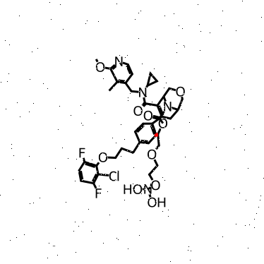 COc1nccc(CN(C(=O)C2=C(c3ccc(CCCOc4c(F)ccc(F)c4Cl)cc3)CC3COCC2N3C(=O)OCCOCCON(O)O)C2CC2)c1C